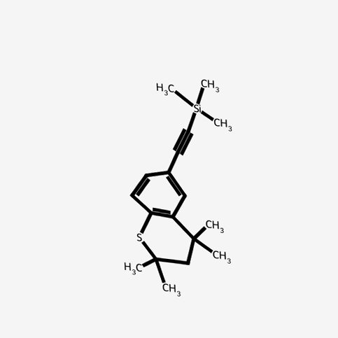 CC1(C)CC(C)(C)c2cc(C#C[Si](C)(C)C)ccc2S1